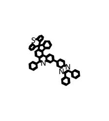 c1ccc(-c2nc3ccc(-c4ccc5c(c4)nc(-c4ccccc4)c4ccc6c(c45)-c4ccccc4C64c5ccccc5Sc5ccccc54)cc3nc2-c2ccccc2)cc1